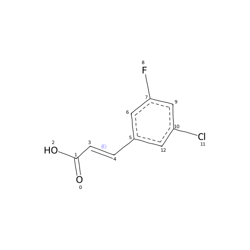 O=C(O)/C=C/c1cc(F)cc(Cl)c1